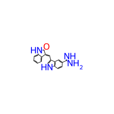 N=C(N)c1ccc2[nH]cc(/C=C3/C(=O)Nc4ccccc43)c2c1